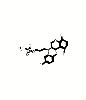 CS(=O)(=O)OCCCN[C@H]1COc2c(F)ccc(F)c2[C@@H]1Cc1ccc(Cl)cc1